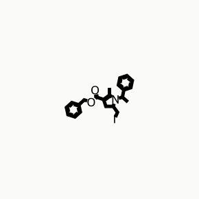 CC1=C(C(=O)OCc2ccccc2)CC(CI)N1C(C)c1ccccc1